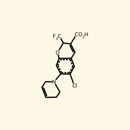 O=C(O)C1=Cc2cc(Cl)c(N3CC=CCC3)cc2OC1C(F)(F)F